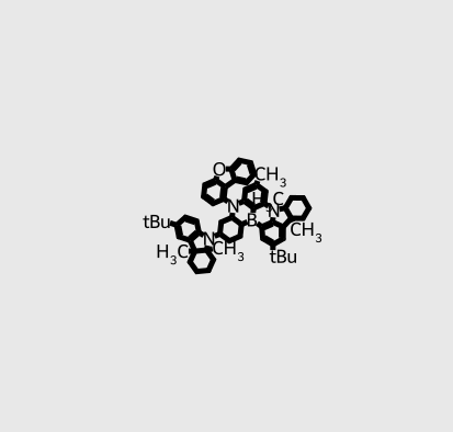 Cc1cc2c3c(c1)N1c4c(cc(C(C)(C)C)cc4C4(C)CCCCC14C)B3C1CCC(N3c4ccc(C(C)(C)C)cc4C4(C)CCCCC34C)CC1N2c1cccc2oc3ccccc3c12